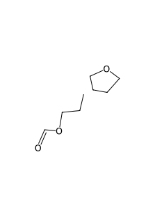 C1CCOC1.CCCOC=O